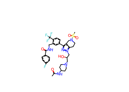 CC(=O)NC1CCN(CC(O)Cn2nc(-c3ccc(C(F)(F)F)c(CNC(=O)c4ccc(F)cc4)c3)c3c2CCN(S(C)(=O)=O)C3)CC1